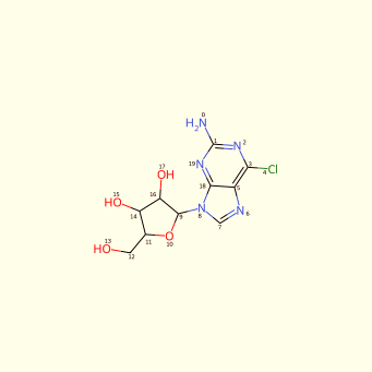 Nc1nc(Cl)c2ncn(C3OC(CO)C(O)C3O)c2n1